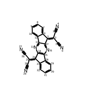 N#CC(C#N)=C1c2ccccc2-c2nc3c(nc21)-c1ccccc1C3=C(C#N)C#N